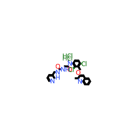 Cc1nc2ccccc2cc1OCc1c(Cl)ccc(N(C)C(=O)CNC(=O)NCc2cccnc2)c1Cl.Cl.Cl